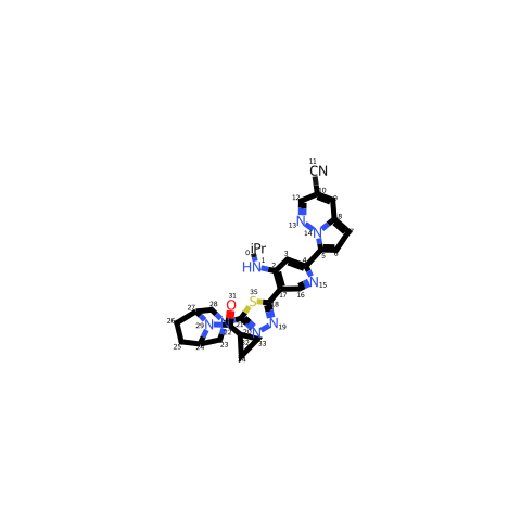 CC(C)Nc1cc(-c2ccc3cc(C#N)cnn23)ncc1-c1nnc(N2CC3CCC(C2)N3C(=O)C2CC2)s1